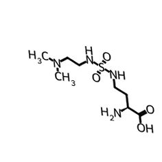 CN(C)CCNS(=O)(=O)NCC[C@H](N)C(=O)O